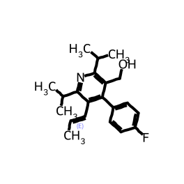 C/C=C/c1c(C(C)C)nc(C(C)C)c(CO)c1-c1ccc(F)cc1